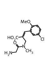 COc1ccc(Cl)cc1C=C(CN(C)C(=O)CN)C(=O)O